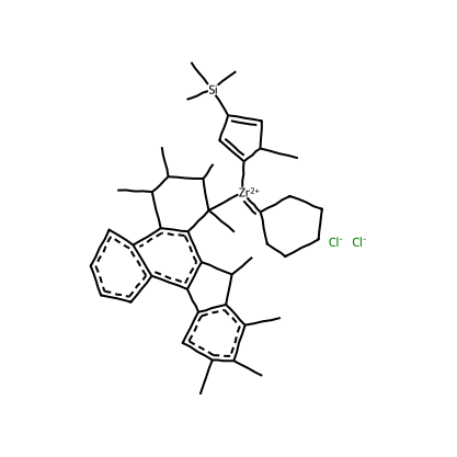 Cc1cc2c(c(C)c1C)C(C)c1c3c(c4ccccc4c1-2)C(C)C(C)C(C)[C]3(C)[Zr+2]([C]1=CC([Si](C)(C)C)=CC1C)=[C]1CCCCC1.[Cl-].[Cl-]